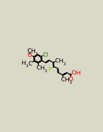 COc1cc(Cl)c(C=CC(C)=C(F)C=CC(C)=CC(=O)O)c(C)c1C